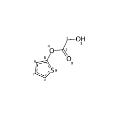 O=C(CO)Oc1cccs1